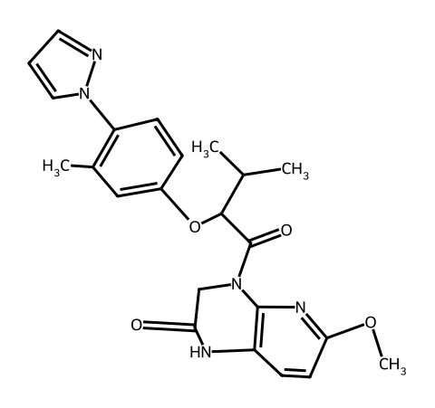 COc1ccc2c(n1)N(C(=O)C(Oc1ccc(-n3cccn3)c(C)c1)C(C)C)CC(=O)N2